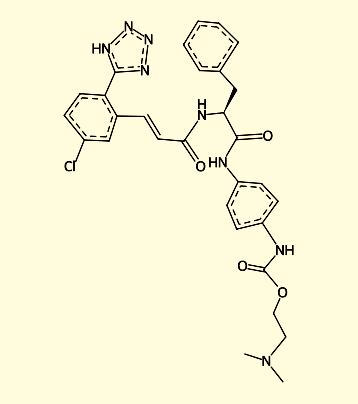 CN(C)CCOC(=O)Nc1ccc(NC(=O)[C@H](Cc2ccccc2)NC(=O)/C=C/c2cc(Cl)ccc2-c2nnn[nH]2)cc1